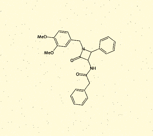 COc1ccc(CN2C(=O)C(NC(=O)Cc3ccccc3)C2c2ccccc2)cc1OC